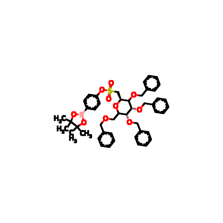 CC1(C)OB(c2ccc(OS(=O)(=O)C[C@@H]3OC(COCc4ccccc4)[C@@H](OCc4ccccc4)[C@@H](OCc4ccccc4)C3OCc3ccccc3)cc2)OC1(C)C